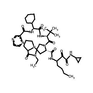 CCCCC(NC(=O)[C@@H]1CC2(CN1C(=O)[C@@H](NC(=O)[C@@H](NC(=O)c1cnccn1)C1CCCCC1)C(C)(C)C)N(CC)C(=O)C1CCCN12)C(=O)C(=O)NC1CC1